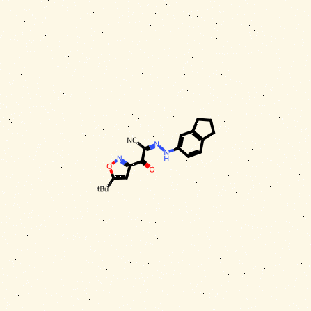 CC(C)(C)c1cc(C(=O)C(C#N)=NNc2ccc3c(c2)CCC3)no1